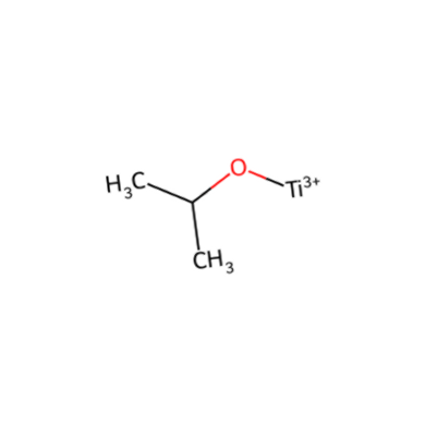 CC(C)[O][Ti+3]